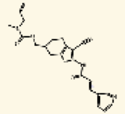 C=CCN(C)C(=O)OCC1CCc2c(sc(NC(=O)/C=C/c3cccnc3)c2C#N)C1